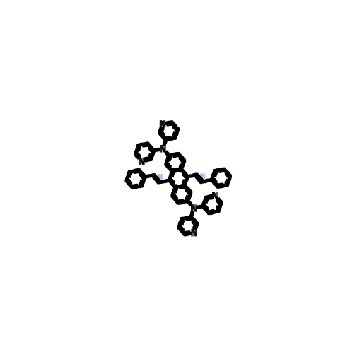 C(=C\c1c2ccc(N(c3cccnc3)c3cccnc3)cc2c(/C=C/c2ccccc2)c2ccc(N(c3cccnc3)c3cccnc3)cc12)/c1ccccc1